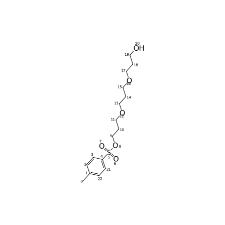 Cc1ccc(S(=O)(=O)OCCCOCCCOCCCO)cc1